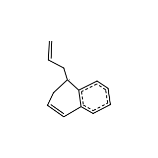 C=CC[C]1CC=Cc2ccccc21